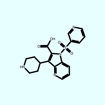 O=C(O)c1c(C2CCNCC2)c2ncccc2n1S(=O)(=O)c1cccnc1